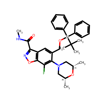 CNC(=O)c1noc2c(F)c(N3C[C@@H](C)O[C@@H](C)C3)c(CO[Si](c3ccccc3)(c3ccccc3)C(C)(C)C)cc12